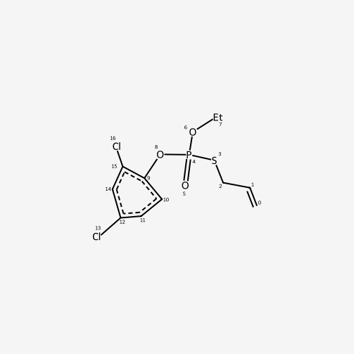 C=CCSP(=O)(OCC)Oc1ccc(Cl)cc1Cl